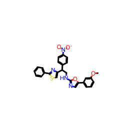 COc1cccc(-c2cnc(NCC(c3ccc([N+](=O)[O-])cc3)c3csc(-c4ccccc4)n3)o2)c1